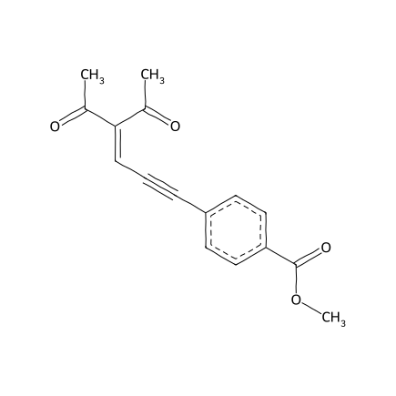 COC(=O)c1ccc(C#CC=C(C(C)=O)C(C)=O)cc1